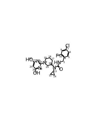 O=C(NCc1ccc(Cl)cc1F)N(C1CC1)[C@@H]1CCCN(c2nc(O)cc(O)n2)C1